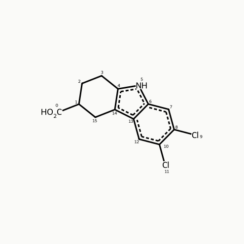 O=C(O)C1CCc2[nH]c3cc(Cl)c(Cl)cc3c2C1